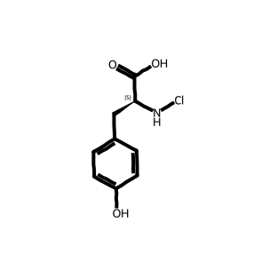 O=C(O)[C@H](Cc1ccc(O)cc1)NCl